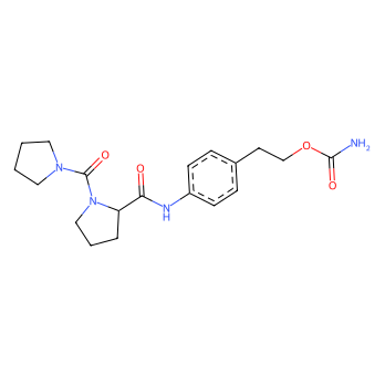 NC(=O)OCCc1ccc(NC(=O)C2CCCN2C(=O)N2CCCC2)cc1